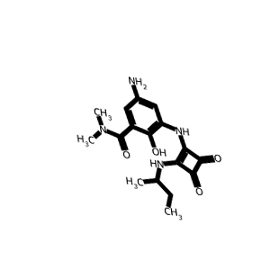 CCC(C)Nc1c(Nc2cc(N)cc(C(=O)N(C)C)c2O)c(=O)c1=O